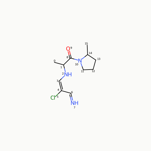 CC(N/C=C(/Cl)C=N)C(=O)N1CCCC1C